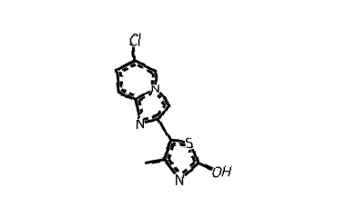 Cc1nc(O)sc1-c1cn2cc(Cl)ccc2n1